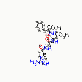 N=C(N)N1CCC(C(=O)NCCC(=O)N[C@@H](CC(=O)O)C(=O)N[C@@H](Cc2ccccc2)C(=O)O)CC1